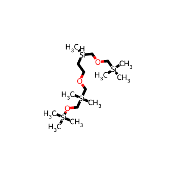 C[SiH](CCOC[Si](C)(C)CO[Si](C)(C)C)COC[Si](C)(C)C